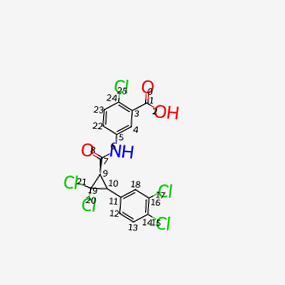 O=C(O)c1cc(NC(=O)[C@H]2C(c3ccc(Cl)c(Cl)c3)C2(Cl)Cl)ccc1Cl